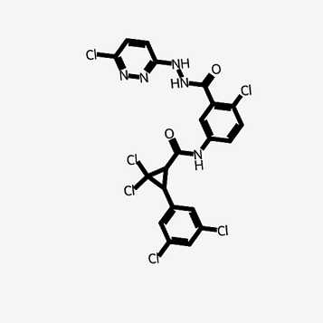 O=C(NNc1ccc(Cl)nn1)c1cc(NC(=O)C2C(c3cc(Cl)cc(Cl)c3)C2(Cl)Cl)ccc1Cl